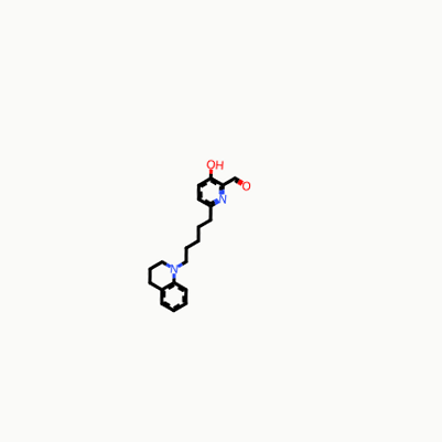 O=Cc1nc(CCCCCN2CCCc3ccccc32)ccc1O